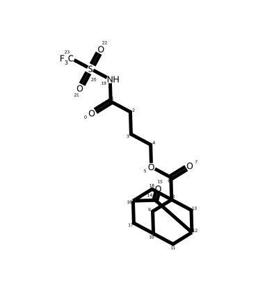 O=C(CCCOC(=O)C12CC3CC(C1)C(=O)C(C3)C2)NS(=O)(=O)C(F)(F)F